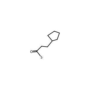 O=C([S])CCC1CCCC1